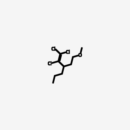 CCC[C](CCOC)C(Cl)=C(Cl)Cl